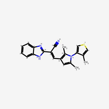 Cc1cscc1-n1c(C)cc(C=C(C#N)c2nc3ccccc3[nH]2)c1C